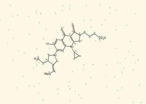 CON=C1CN(c2cc3c(cc2F)c(=O)c2c(=O)n(CCCC(=O)O)sc2n3C2CC2)CC1CN